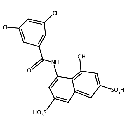 O=C(Nc1cc(S(=O)(=O)O)cc2cc(S(=O)(=O)O)cc(O)c12)c1cc(Cl)cc(Cl)c1